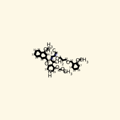 C=C(/C=C\C(=C/C)OCCCOCc1ccccc1OC)[C@@H]1[C@@H](OCc2cc(OC)c3ccccc3c2)CNC[C@H]1OCOC